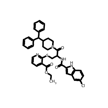 CCOC(=O)c1cccnc1SCC(NC(=O)c1cc2cc(Cl)ccc2[nH]1)C(=O)N1CCC(C(c2ccccc2)c2ccccc2)CC1